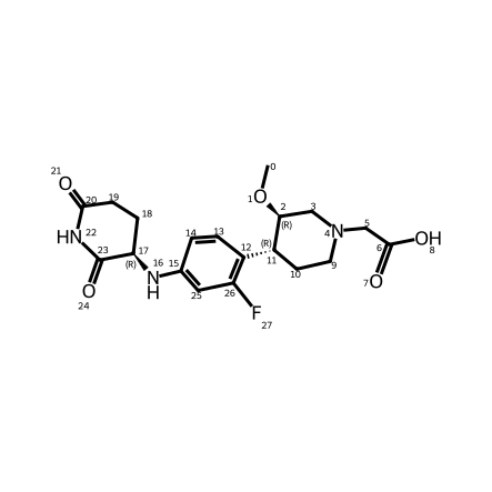 CO[C@H]1CN(CC(=O)O)CC[C@@H]1c1ccc(N[C@@H]2CCC(=O)NC2=O)cc1F